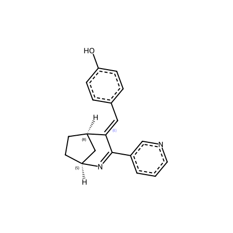 Oc1ccc(/C=C2/C(c3cccnc3)=N[C@H]3CC[C@@H]2C3)cc1